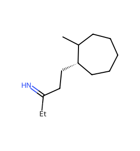 CCC(=N)CC[C@H]1CCCCCC1C